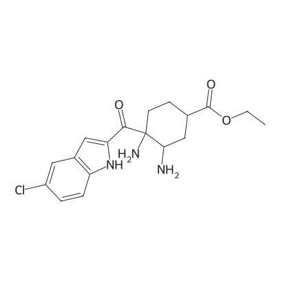 CCOC(=O)C1CCC(N)(C(=O)c2cc3cc(Cl)ccc3[nH]2)C(N)C1